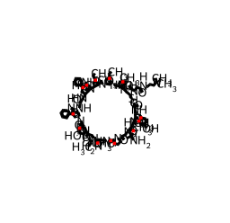 CCCC[C@H]1C(=O)N(C)[C@@H](CCCC)C(=O)N[C@@H](CC(C)C)C(=O)N[C@H](C(=O)NCC(=O)NCCCN(C)C)CSCC(=O)N[C@@H](Cc2ccc(O)cc2)C(=O)N(C)[C@@H](C)C(=O)N[C@@H](CC(N)=O)C(=O)N2CCC[C@H]2C(=O)N[C@@H](CN)C(=O)N[C@@H](CC(C)C)C(=O)N2C[C@H](O)C[C@H]2C(=O)N[C@@H](Cc2c[nH]c3ccccc23)C(=O)NCC(=O)NC(Cc2c[nH]c3ccccc23)C(=O)N1C